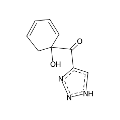 O=C(c1c[nH]nn1)C1(O)C=CC=CC1